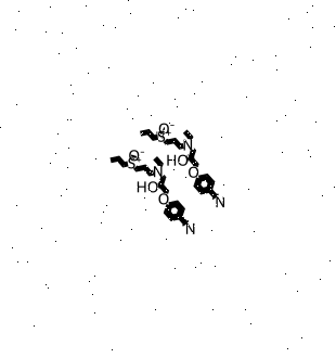 CCC[S+]([O-])CCCN(CC)CC(O)COc1ccc(C#N)cc1.CCC[S@+]([O-])CCCN(CC)C[C@H](O)COc1ccc(C#N)cc1